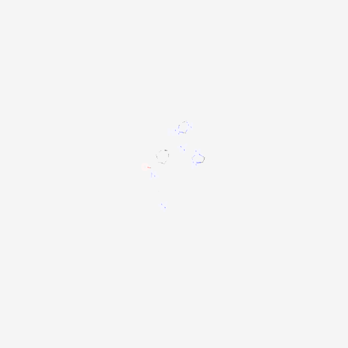 CC(C)CN1CCC2(CC1)CCN(C(=O)c1ccc(CN(Cc3ncc[nH]3)Cc3nccn3C)cc1)CC2